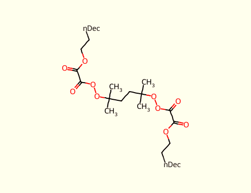 CCCCCCCCCCCCOC(=O)C(=O)OOC(C)(C)CCC(C)(C)OOC(=O)C(=O)OCCCCCCCCCCCC